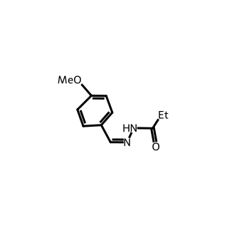 CCC(=O)N/N=C\c1ccc(OC)cc1